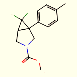 Cc1ccc(C23CN(C(=O)OC(C)(C)C)CC2C3(F)F)cc1